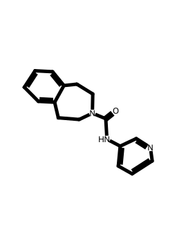 O=C(Nc1cccnc1)N1CCc2ccccc2CC1